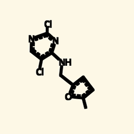 Cc1ccc(CNc2nc(Cl)ncc2Cl)o1